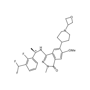 COc1cc2c(=O)n(C)nc(N[C@H](C)c3cccc(C(F)F)c3F)c2cc1C1CCN(C2COC2)CC1